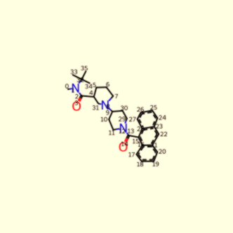 CN(C(=O)C1CCCN(C2CCN(C(=O)c3c4ccccc4cc4ccccc34)CC2)C1)C(C)(C)C